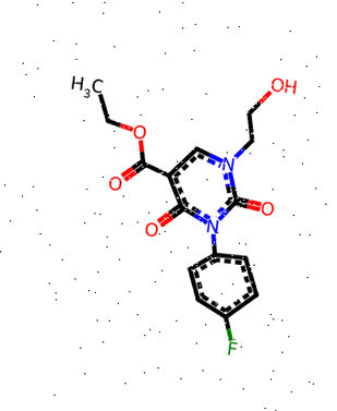 CCOC(=O)c1cn(CCO)c(=O)n(-c2ccc(F)cc2)c1=O